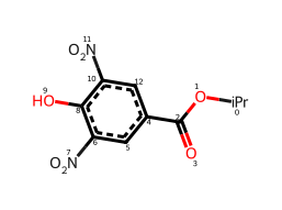 CC(C)OC(=O)c1cc([N+](=O)[O-])c(O)c([N+](=O)[O-])c1